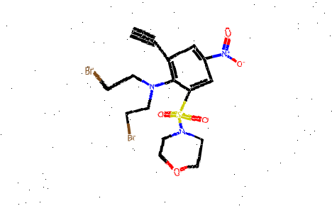 C#Cc1cc([N+](=O)[O-])cc(S(=O)(=O)N2CCOCC2)c1N(CCBr)CCBr